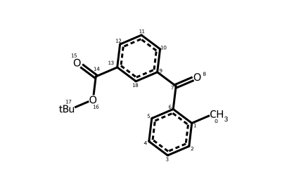 Cc1ccccc1C(=O)c1cccc(C(=O)OC(C)(C)C)c1